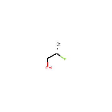 CC[C@H](F)CO